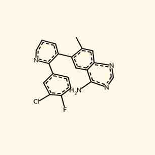 Cc1cc2ncnc(N)c2cc1-c1cccnc1-c1ccc(F)c(Cl)c1